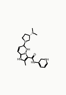 CC1=C(C(=O)NC2=CC=CNC2)N2NC(N3CC[C@H](N(C)C)C3)C=CC2N1